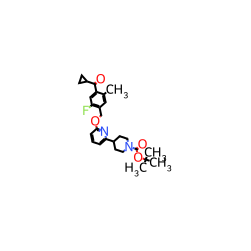 Cc1cc(COc2cccc(C3CCN(C(=O)OC(C)(C)C)CC3)n2)c(F)cc1C(=O)C1CC1